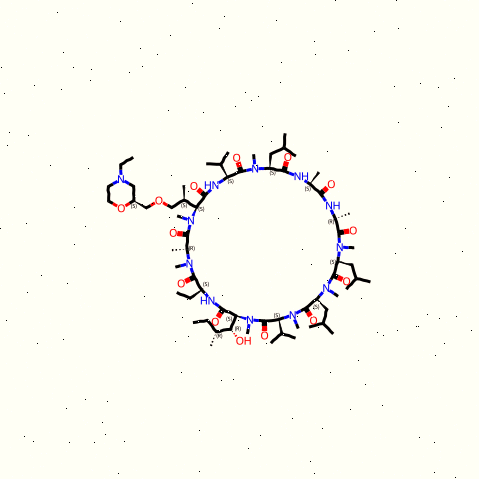 CC[C@@H]1NC(=O)[C@H]([C@H](O)[C@H](C)CC)N(C)C(=O)[C@H](C(C)C)N(C)C(=O)[C@H](CC(C)C)N(C)C(=O)[C@H](CC(C)C)N(C)C(=O)[C@@H](C)NC(=O)[C@H](C)NC(=O)[C@H](CC(C)C)N(C)C(=O)[C@H](C(C)C)NC(=O)[C@H]([C@H](C)COC[C@@H]2CN(CC)CCO2)N(C)C(=O)[C@@H](C)N(C)C1=O